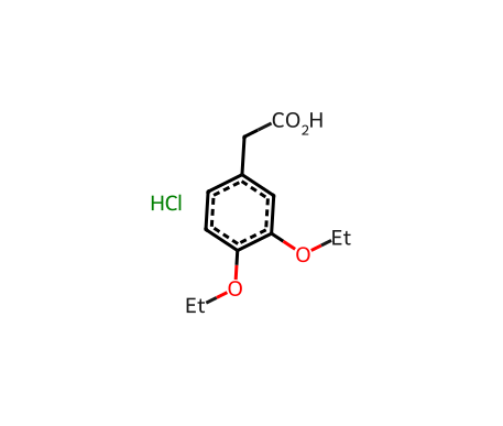 CCOc1ccc(CC(=O)O)cc1OCC.Cl